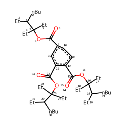 CCCCC(CC)C(CC)(CC)OC(=O)c1ccc(C(=O)OC(CC)(CC)C(CC)CCCC)c(C(=O)OC(CC)(CC)C(CC)CCCC)c1